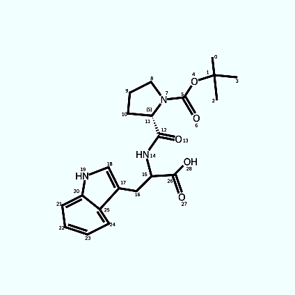 CC(C)(C)OC(=O)N1CCC[C@H]1C(=O)NC(Cc1c[nH]c2ccccc12)C(=O)O